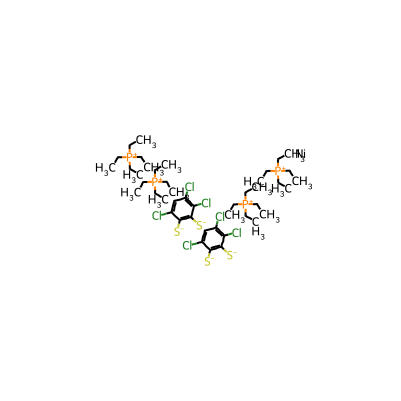 CC[P+](CC)(CC)CC.CC[P+](CC)(CC)CC.CC[P+](CC)(CC)CC.CC[P+](CC)(CC)CC.[Ni].[S-]c1c(Cl)cc(Cl)c(Cl)c1[S-].[S-]c1c(Cl)cc(Cl)c(Cl)c1[S-]